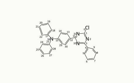 Clc1nc(-c2ccccc2)nc(-c2ccc(N(c3ccccc3)c3ccccc3)cc2)n1